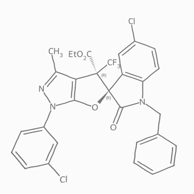 CCOC(=O)[C@@]1(C(F)(F)F)c2c(C)nn(-c3cccc(Cl)c3)c2O[C@@]12C(=O)N(Cc1ccccc1)c1ccc(Cl)cc12